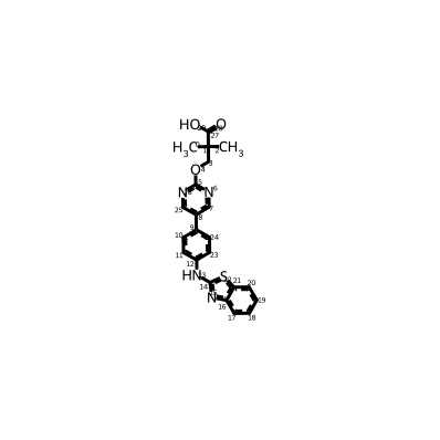 CC(C)(COc1ncc(-c2ccc(Nc3nc4ccccc4s3)cc2)cn1)C(=O)O